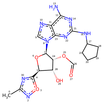 Cc1noc([C@H]2O[C@@H](n3cnc4c(N)nc(NC5CCCC5)nc43)[C@H](OC=O)[C@@H]2O)n1